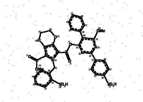 COC(=O)c1c2c(c(C(=O)Oc3nc(-c4ccc(S(=O)(=O)O)cc4)nc(OC)c3-c3ccccc3)n1Cc1ccccc1S(=O)(=O)O)OCCO2